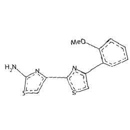 COc1ccccc1-c1csc(-c2csc(N)n2)n1